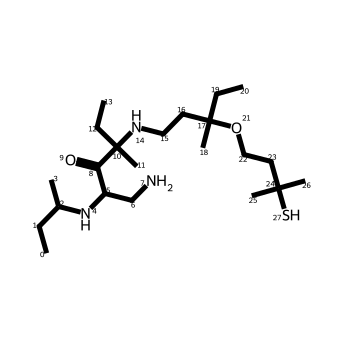 CCC(C)NC(CN)C(=O)C(C)(CC)NCCC(C)(CC)OCCC(C)(C)S